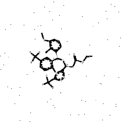 CCOC(=O)C[C@@H]1O[C@@H](c2cccc(OC)c2C)c2cc(C(F)(F)F)ccc2-n2c1nnc2C(F)(F)Cl